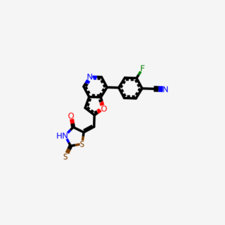 N#Cc1ccc(-c2cncc3cc(/C=C4/SC(=S)NC4=O)oc23)cc1F